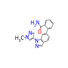 Cn1cc(-n2ncc3ccc(-c4ccccc4C(N)=O)cc32)cn1